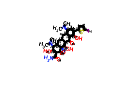 CN(C)c1cc(-c2ccc(I)s2)c(O)c2c1CC1C[C@H]3[C@H](N(C)C)C(O)=C(C(N)=O)C(=O)[C@@]3(N=O)C(O)=C1C2=O